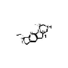 CC[C@H]1OCc2cc3c(nc21)N1[C@@H](CNC[C@H]1C)C3